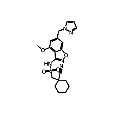 COc1cc(Cn2cccn2)cc2onc(NS(=O)(=O)CC3(C#N)CCCCC3)c12